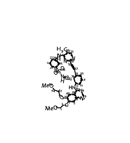 COCCOc1cc2ncnc(Nc3cccc(C#Cc4ncc(C)c(Nc5cccc(S(=O)(=O)NC(C)(C)C)c5)n4)c3)c2cc1OCCOC